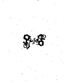 CC1(c2ccccc2)OCCN1C(=S)SSC(=S)N1CCOC1(C)c1ccccc1